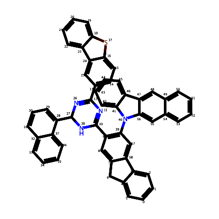 c1ccc2c(c1)Cc1cc(C3=NC(c4ccc5sc6ccccc6c5c4)=NC(c4cccc5ccccc45)N3)c(-n3c4ccccc4c4cc5ccccc5cc43)cc1-2